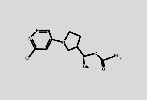 CC(C)(C)[C@H](OC(N)=O)C1CCN(c2cnnc(Cl)c2)C1